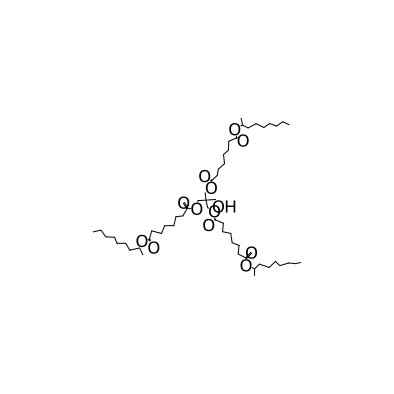 CCCCCCCC(C)OC(=O)CCCCCCC(=O)OCC(CO)(COC(=O)CCCCCCC(=O)OC(C)CCCCCCC)COC(=O)CCCCCCC(=O)OC(C)CCCCCCC